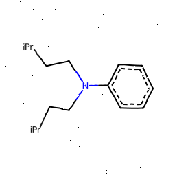 CC(C)CCN(CCC(C)C)c1ccccc1